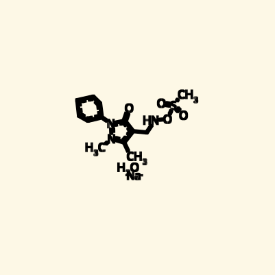 Cc1c(CNOS(C)(=O)=O)c(=O)n(-c2ccccc2)n1C.O.[Na]